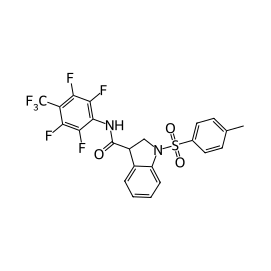 Cc1ccc(S(=O)(=O)N2CC(C(=O)Nc3c(F)c(F)c(C(F)(F)F)c(F)c3F)c3ccccc32)cc1